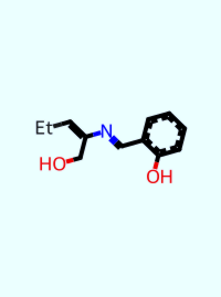 CC/C=C(CO)/N=C/c1ccccc1O